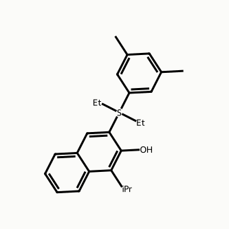 CCS(CC)(c1cc(C)cc(C)c1)c1cc2ccccc2c(C(C)C)c1O